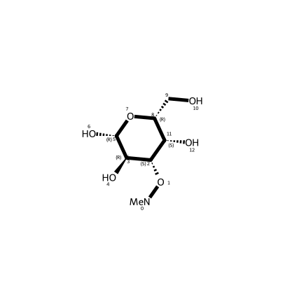 CNO[C@@H]1[C@@H](O)[C@H](O)O[C@H](CO)[C@@H]1O